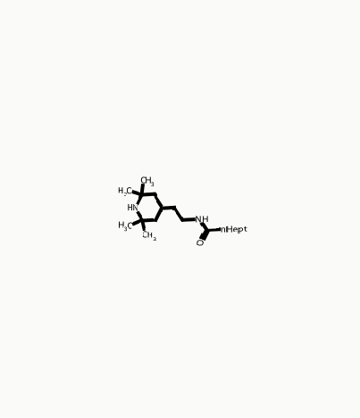 CCCCCCCC(=O)NCCC1CC(C)(C)NC(C)(C)C1